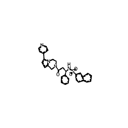 O=C(CC(NS(=O)(=O)c1ccc2ccccc2c1)c1ccccc1)N1CCn2c(ccc2-c2ccncc2)C1